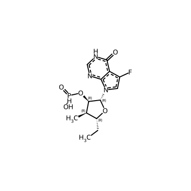 CC[C@H]1O[C@@H](n2cc(F)c3c(=O)[nH]cnc32)[C@H](O[PH](=O)O)[C@@H]1C